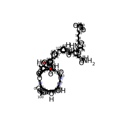 CO[C@H]1/C=C/O[C@@]2(C)Oc3c(C)c(O)c4c(=O)c(c5oc6cc(N7CCN(Cc8ccc(NC(=O)[C@H](CCCNC(N)=O)NC(=O)[C@@H](NC(=O)CCCCCN9C(=O)C=CC9=O)C(C)C)cc8)CC7)cc(O)c6nc-5c4c3C2=O)NC(=O)/C(C)=C\C=C\[C@H](C)[C@H](O)[C@@H](C)[C@@H](O)[C@@H](C)[C@H](OC(C)=O)[C@@H]1C